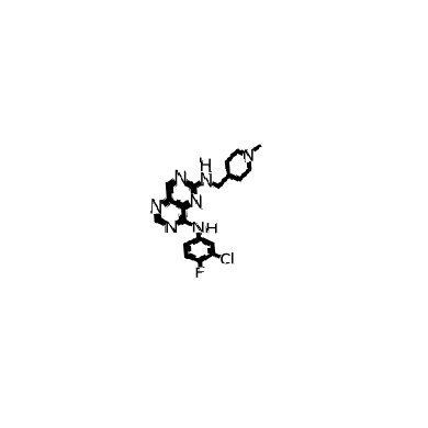 CN1CCC(CNc2ncc3ncnc(Nc4ccc(F)c(Cl)c4)c3n2)CC1